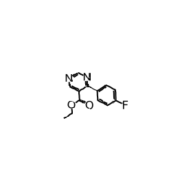 CCOC(=O)c1cncnc1-c1ccc(F)cc1